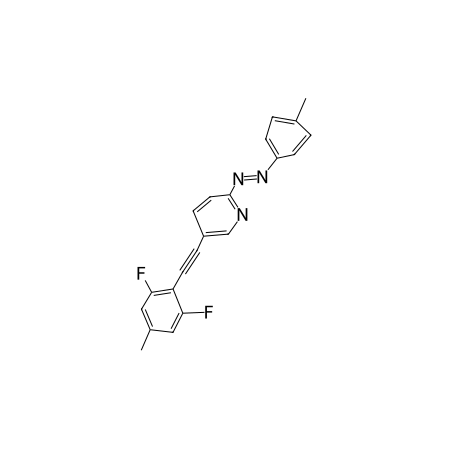 Cc1ccc(N=Nc2ccc(C#Cc3c(F)cc(C)cc3F)cn2)cc1